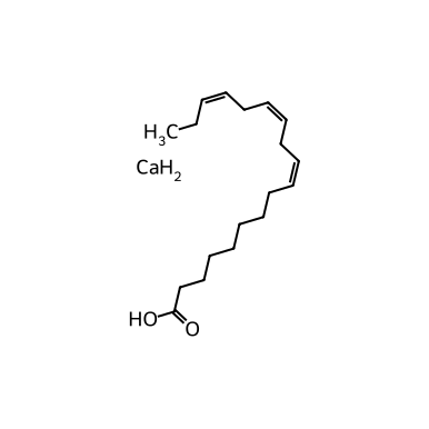 CC/C=C\C/C=C\C/C=C\CCCCCCCC(=O)O.[CaH2]